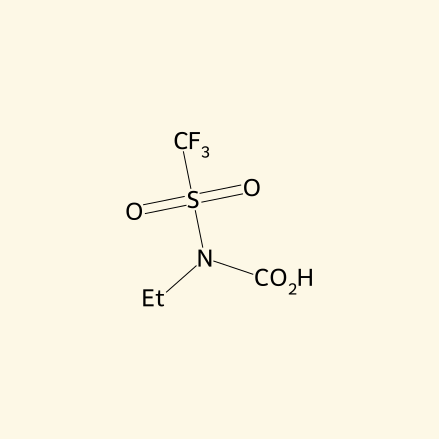 CCN(C(=O)O)S(=O)(=O)C(F)(F)F